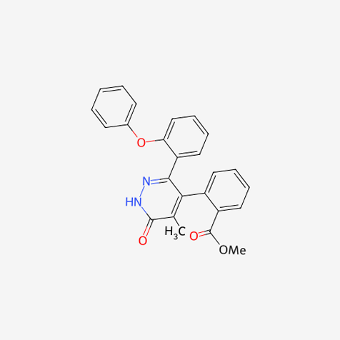 COC(=O)c1ccccc1-c1c(-c2ccccc2Oc2ccccc2)n[nH]c(=O)c1C